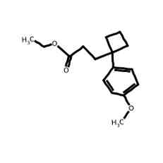 CCOC(=O)CCC1(c2ccc(OC)cc2)CCC1